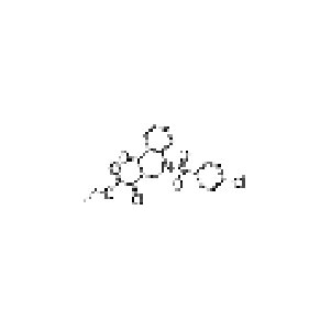 CCOC(=O)C(=O)C1CN(S(=O)(=O)c2ccc(Cl)cc2)c2ccccc2C1=O